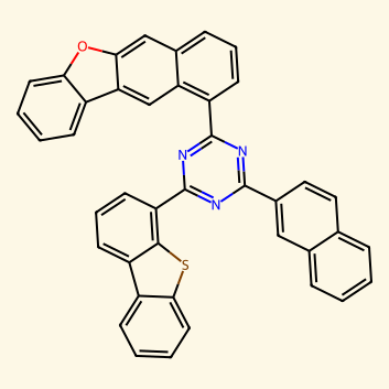 c1ccc2cc(-c3nc(-c4cccc5cc6oc7ccccc7c6cc45)nc(-c4cccc5c4sc4ccccc45)n3)ccc2c1